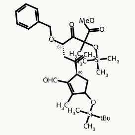 C=C(C[C@H](OCc1ccccc1)C(=O)C(C)(O[Si](C)(C)C)C(=O)OC)[C@H]1CC(O[Si](C)(C)C(C)(C)C)C(C)=C1C=O